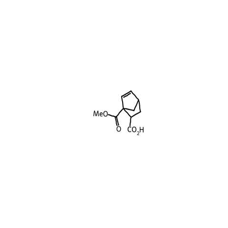 COC(=O)C12C=CC(CC1C(=O)O)C2